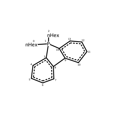 CCCCCC[P]1(CCCCCC)c2ccccc2-c2ccccc21